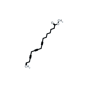 C=CCC#CCC#CCC#CCCCCCCC(=O)OC